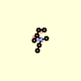 c1ccc(C2=NC(c3cc(-c4cccc5c4oc4ccccc45)cc4oc5ccccc5c34)NC(c3ccc(-c4ccccc4)cc3)=N2)cc1